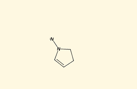 [N]N1C=CCC1